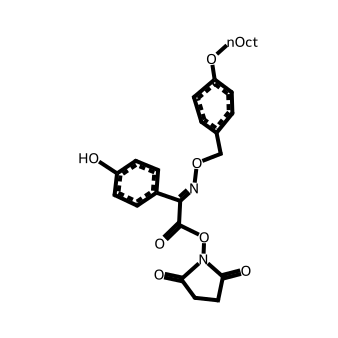 CCCCCCCCOc1ccc(CON=C(C(=O)ON2C(=O)CCC2=O)c2ccc(O)cc2)cc1